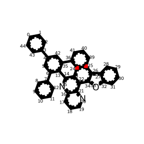 c1ccc(-c2cc(-c3ccccc3)c(-c3nc4cccnc4c4c3ccc3c5ccccc5oc34)c(-c3ccccc3)c2)cc1